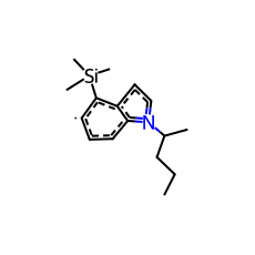 CCCC(C)n1ccc2c([Si](C)(C)C)[c]ccc21